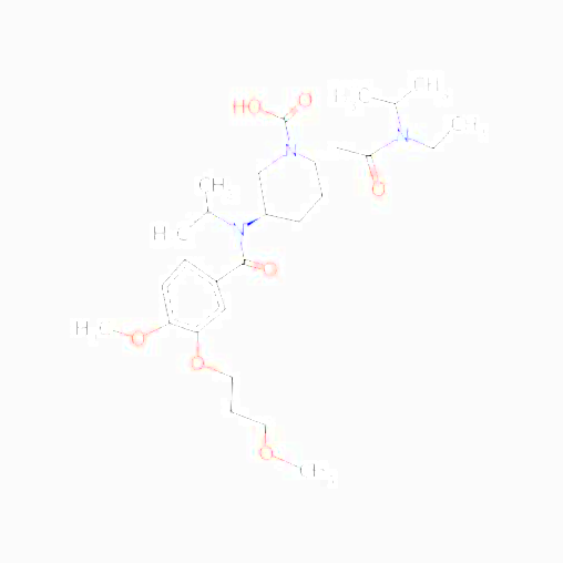 CCN(C(=O)C[C@@H]1CC[C@@H](N(C(=O)c2ccc(OC)c(OCCCOC)c2)C(C)C)CN1C(=O)O)C(C)C